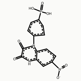 O=c1[nH]c2cc([N+](=O)[O-])ccc2n(-c2ccc(P(=O)(O)O)cc2)c1=O